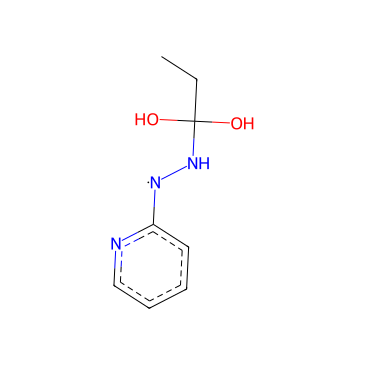 CCC(O)(O)N[N]c1ccccn1